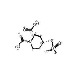 CS(=O)(=O)O[C@@H]1CCN(C(=O)O)[C@H](C(=O)O)C1